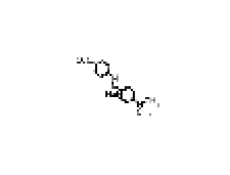 CN(C)c1ccc(/N=N/c2ccc(C(=O)O)cc2)cc1.[NaH]